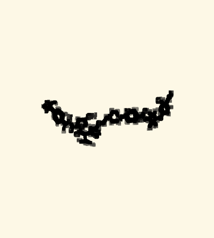 Cc1ncsc1-c1ccc([C@H](C)NC(=O)[C@@H]2C[C@@H](O)CN2C(=O)[C@@H](c2cc(OCCN3CCN(c4ccc(C(=O)NC5C(C)(C)C(Oc6ccc(C#N)c(Cl)c6)C5(C)C)cn4)CC3)no2)C(C)C)cc1